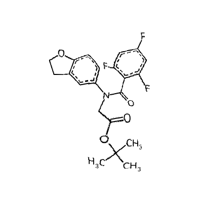 CC(C)(C)OC(=O)CN(C(=O)c1c(F)cc(F)cc1F)c1ccc2c(c1)CCO2